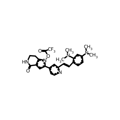 CN(C)c1ccc(C=Cc2cc(-c3cc4c(n3OC(=O)C(F)(F)F)CCNC4=O)ccn2)c(N(C)C)c1